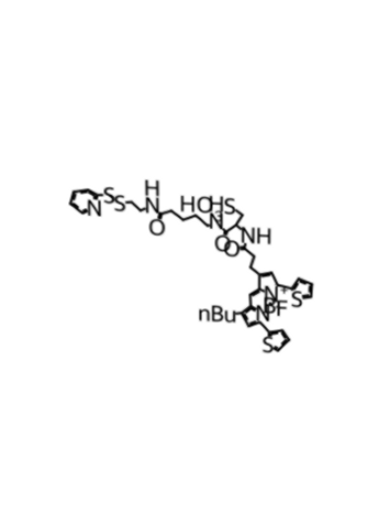 CCCCc1cc(-c2cccs2)n2c1C=C1C(CCC(=O)NC(CS(=O)(=O)O)C(=O)NCCCCC(=O)NCCSSc3ccccn3)=CC(c3cccs3)=[N+]1B2F